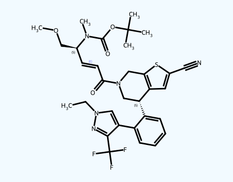 CCn1cc(-c2ccccc2[C@@H]2CN(C(=O)/C=C/[C@@H](COC)N(C)C(=O)OC(C)(C)C)Cc3sc(C#N)cc32)c(C(F)(F)F)n1